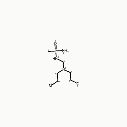 CP(N)(=O)NCN(CCCl)CCCl